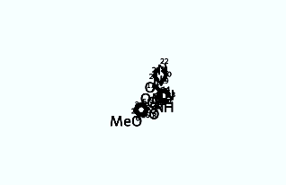 COc1ccc(OC)c(S(=O)(=O)Nc2cncc(C(=O)N3CCN(C)CC3)c2)c1